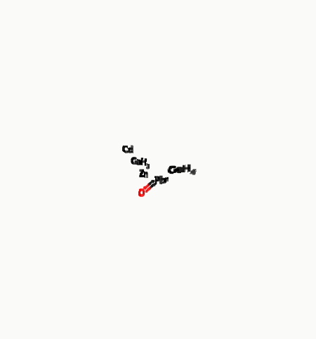 [Cd].[GaH3].[GeH4].[O]=[Pb].[Zn]